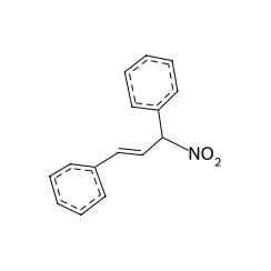 O=[N+]([O-])C(C=Cc1ccccc1)c1ccccc1